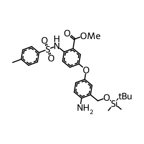 COC(=O)c1cc(Oc2ccc(N)c(CO[Si](C)(C)C(C)(C)C)c2)ccc1NS(=O)(=O)c1ccc(C)cc1